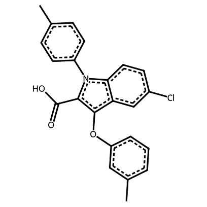 Cc1ccc(-n2c(C(=O)O)c(Oc3cccc(C)c3)c3cc(Cl)ccc32)cc1